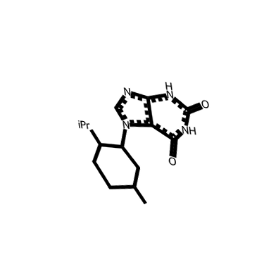 CC1CCC(C(C)C)C(n2cnc3[nH]c(=O)[nH]c(=O)c32)C1